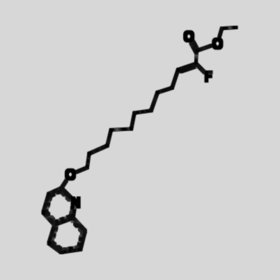 CCOC(=O)/C(F)=C/CCCCCCCCCOc1ccc2ccccc2n1